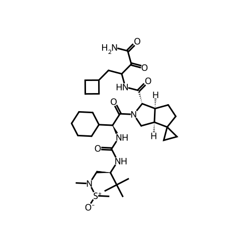 CN(C[C@@H](NC(=O)N[C@H](C(=O)N1C[C@H]2[C@H](CCC23CC3)[C@H]1C(=O)NC(CC1CCC1)C(=O)C(N)=O)C1CCCCC1)C(C)(C)C)[S+](C)[O-]